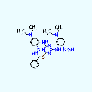 CCN(CC)c1ccc(N=N)c(Nc2nc(Nc3cc(N(CC)CC)ccc3N=N)nc(SCc3ccccc3)n2)c1